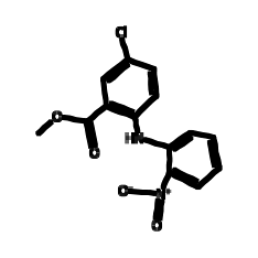 COC(=O)c1cc(Cl)ccc1Nc1ccccc1[N+](=O)[O-]